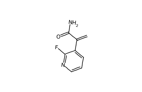 C=C(C(N)=O)c1cccnc1F